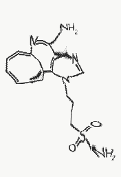 Nc1nc2ccccc2c2c1ncn2CCCS(N)(=O)=O